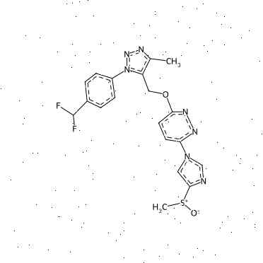 Cc1nnn(-c2ccc(C(F)F)cc2)c1COc1ccc(-n2cnc([S+](C)[O-])c2)nn1